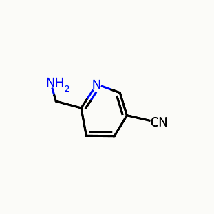 N#Cc1ccc(CN)nc1